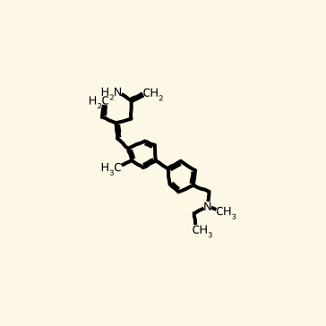 C=C/C(=C/c1ccc(-c2ccc(CN(C)CC)cc2)cc1C)CC(=C)N